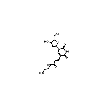 NCCNC(=O)/C=C/c1cn([C@H]2CC(O)[C@@H](CO)O2)c(=O)[nH]c1=O